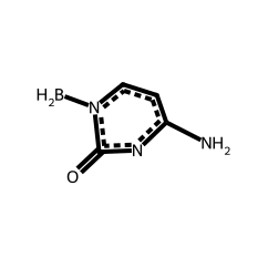 Bn1ccc(N)nc1=O